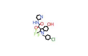 O=C(Nc1cccnc1)C(=O)c1c(C(F)(F)F)n(Cc2ccc(Cl)cc2)c2ccc(O)cc12